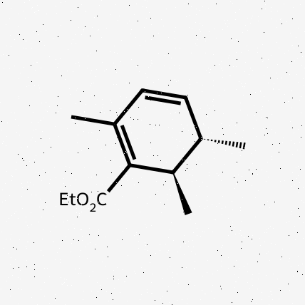 CCOC(=O)C1=C(C)C=C[C@H](C)[C@H]1C